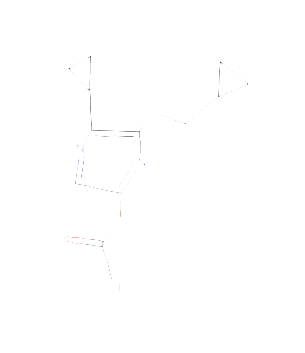 CC(=O)Oc1cnc(C2CC2)c(OCC2CC2)n1